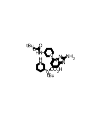 CC(C)(C)N(C(=O)O)[C@@H]1CCCNC1.CC(C)(C)OC(=O)N[C@@H]1CCCN(c2cccc3nc(N)nn23)C1